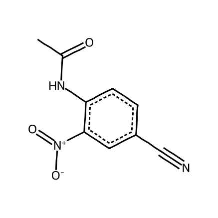 CC(=O)Nc1ccc(C#N)cc1[N+](=O)[O-]